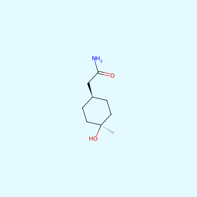 C[C@]1(O)CC[C@@H](CC(N)=O)CC1